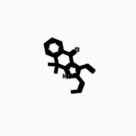 C=Cc1c(/C=C\C)[nH]c2c1C(=O)c1ccccc1C2(C)C